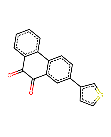 O=C1C(=O)c2cc(-c3[c]s[c]c3)ccc2-c2ccccc21